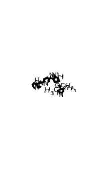 Cc1cnnc(C)c1C(C)Oc1ccc2[nH]nc(-c3ccc(N4CCN5CCC[C@H]5C4)nc3)c2c1